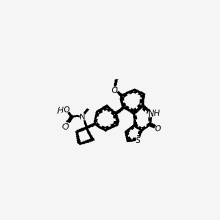 COc1ccc2[nH]c(=O)c3sccc3c2c1-c1ccc(C2(N(C)C(=O)O)CCC2)cc1